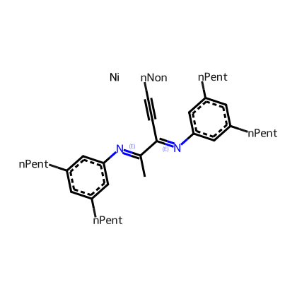 CCCCCCCCCC#CC(=N\c1cc(CCCCC)cc(CCCCC)c1)/C(C)=N/c1cc(CCCCC)cc(CCCCC)c1.[Ni]